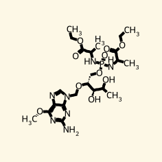 CCOC(=O)C(C)NP(=O)(NC(C)C(=O)OCC)OC[C@@H](OCn1cnc2c(OC)nc(N)nc21)[C@H](O)C(C)O